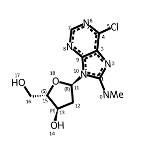 CNc1nc2c(Cl)ncnc2n1[C@H]1C[C@@H](O)[C@H](CO)O1